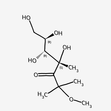 COC(C)(C)C(=O)[C@@](C)(O)[C@H](O)[C@H](O)CO